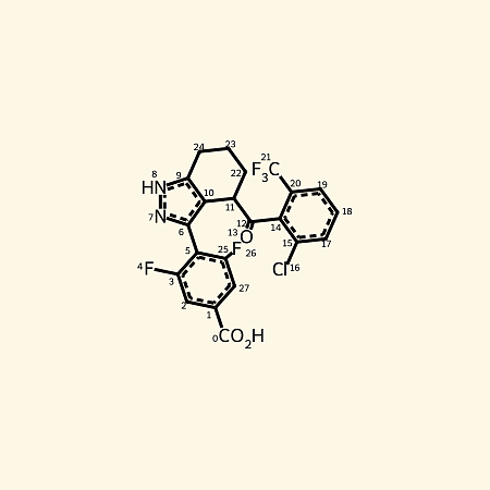 O=C(O)c1cc(F)c(-c2n[nH]c3c2C(C(=O)c2c(Cl)cccc2C(F)(F)F)CCC3)c(F)c1